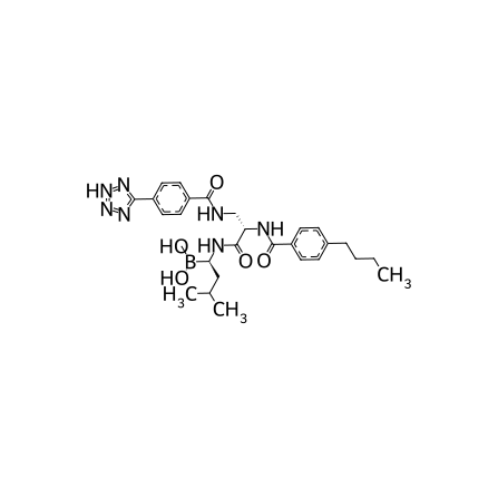 CCCCc1ccc(C(=O)N[C@@H](CNC(=O)c2ccc(-c3nn[nH]n3)cc2)C(=O)N[C@@H](CC(C)C)B(O)O)cc1